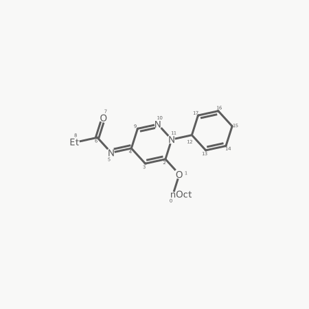 CCCCCCCCOc1cc(=NC(=O)CC)cnn1C1C=CCC=C1